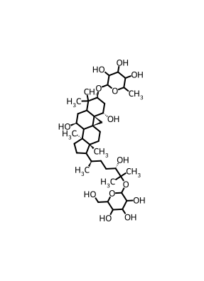 CC1OC(O[C@H]2C[C@H](O)[C@]34C[C@]35CC[C@]3(C)C([C@H](C)CC[C@H](O)C(C)(C)OC6OC(CO)C(O)C(O)C6O)CC[C@@]3(C)C5[C@@H](O)CC4C2(C)C)C(O)C(O)C1O